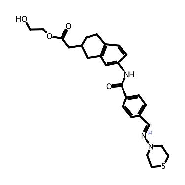 O=C(CC1CCc2ccc(NC(=O)c3ccc(/C=N/N4CCSCC4)cc3)cc2C1)OCCO